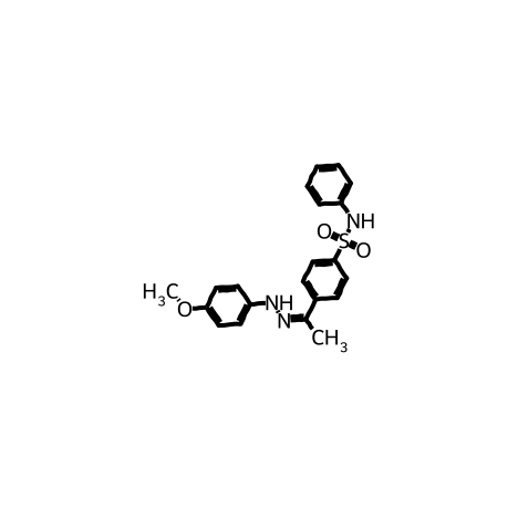 COc1ccc(NN=C(C)c2ccc(S(=O)(=O)Nc3ccccc3)cc2)cc1